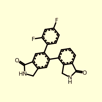 O=C1NCc2cc(-c3cccc4c3CNC4=O)c(-c3ccc(F)cc3F)cc21